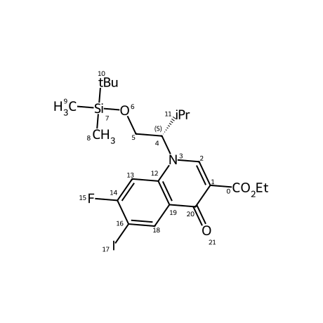 CCOC(=O)c1cn([C@H](CO[Si](C)(C)C(C)(C)C)C(C)C)c2cc(F)c(I)cc2c1=O